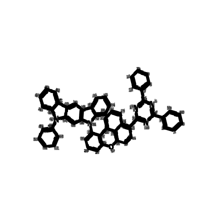 c1ccc(-c2nc(-c3ccccc3)nc(-c3ccc4c5c(cccc35)-c3c(cccc3-n3c5ccccc5c5cc6c7ccccc7n(-c7ccccc7)c6cc53)O4)n2)cc1